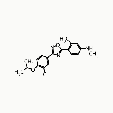 CNc1ccc(-c2nc(-c3ccc(OC(C)C)c(Cl)c3)no2)c(C)c1